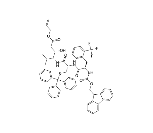 C=CCOC(=O)C[C@H](O)[C@H](NC(=O)[C@@H](CSC(c1ccccc1)(c1ccccc1)c1ccccc1)NC(=O)[C@@H](Cc1ccccc1C(F)(F)F)NC(=O)OCC1c2ccccc2-c2ccccc21)C(C)C